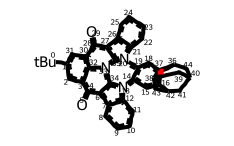 CC(C)(C)c1cc2c(=O)c3c4ccccc4n4c5cc6c(cc5n5c7ccccc7c7c(=O)c(c1)c2n(c34)c75)C1CC2CC(CC6C2)C1